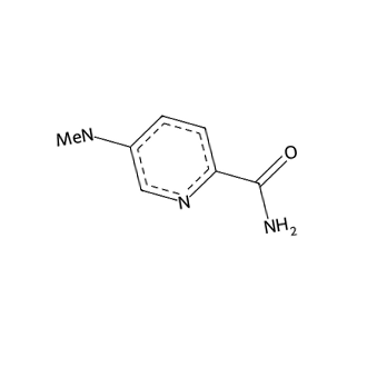 CNc1ccc(C(N)=O)nc1